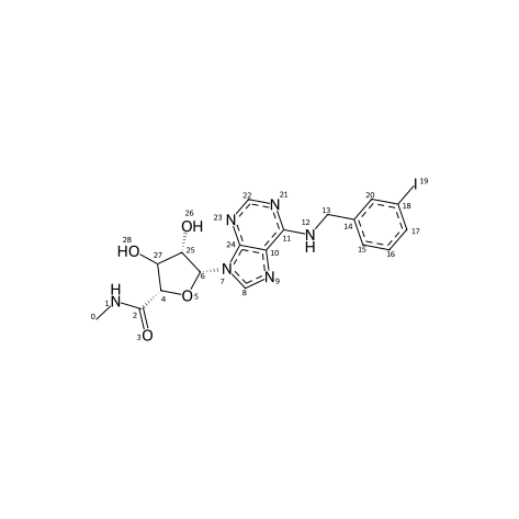 CNC(=O)[C@H]1O[C@@H](n2cnc3c(NCc4cccc(I)c4)ncnc32)[C@@H](O)C1O